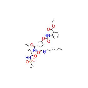 C=CCCCCN(C)C(=O)[C@@H]1C[C@H](OC(=O)Nc2ccccc2C(=O)OCC)C[C@H]1C(=O)N[C@]1(C(=O)NS(=O)(=O)C2CC2)C[C@H]1C=C